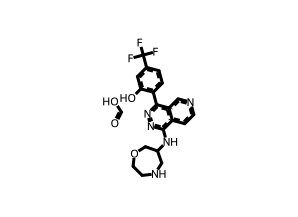 O=CO.Oc1cc(C(F)(F)F)ccc1-c1nnc(NC2CNCCOC2)c2ccncc12